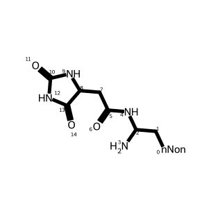 [CH2]CCCCCCCCCC(N)NC(=O)CC1NC(=O)NC1=O